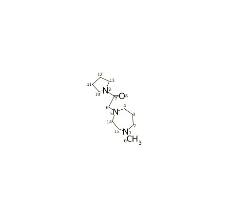 CN1CCCN(CC(=O)N2CCCC2)CC1